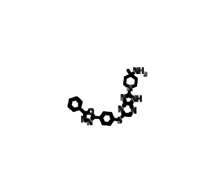 CC1(N)CCN(c2nc3nc(Sc4ccc(-c5nnc(-c6ccccc6)o5)cc4)cnc3[nH]2)CC1